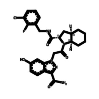 NC(=O)c1nn(CC(=O)N2[C@@H]3CCCC[C@@H]3C[C@H]2C(=O)NCc2cccc(Cl)c2F)c2cc(O)ccc12